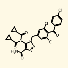 NC(=O)c1nnn(Cc2cc(Cl)c(C(=O)c3ccc(Cl)cc3)c(Cl)c2)c1N(C(=O)C1CC1)C(=O)C1CC1